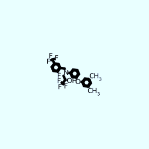 Cc1cc(C)cc(Oc2cccc(N(Cc3cc(C(F)(F)F)ccc3F)C[C@@H](O)C(F)(F)F)c2)c1